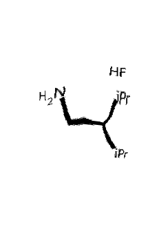 CC(C)C(CN)C(C)C.F